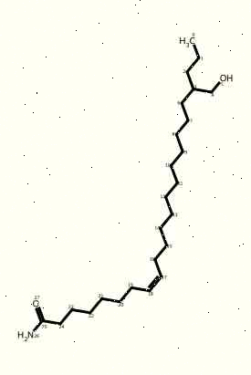 CCCC(CO)CCCCCCCCCCC/C=C\CCCCCCC(N)=O